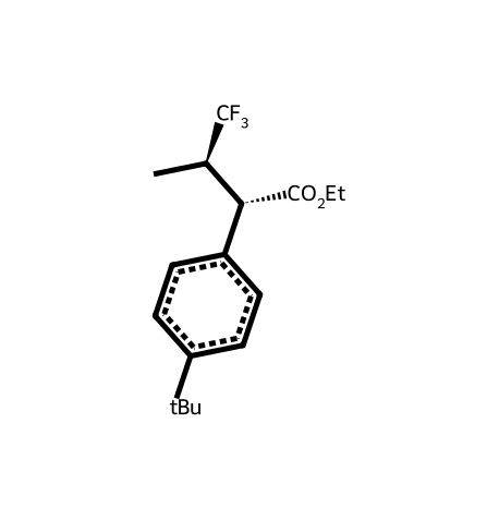 CCOC(=O)[C@H](c1ccc(C(C)(C)C)cc1)[C@@H](C)C(F)(F)F